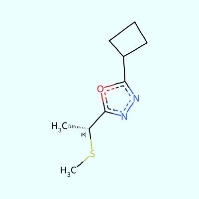 CS[C@H](C)c1nnc(C2CCC2)o1